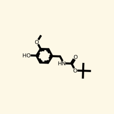 COc1cc(CNC(=O)OC(C)(C)C)ccc1O